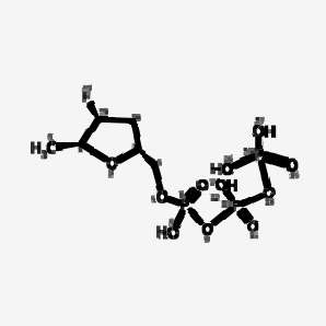 C[C@@H]1O[C@H](COP(=O)(O)OP(=O)(O)OP(=O)(O)O)C[C@@H]1F